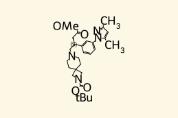 COC(=O)C[C@H](CN1CCC2(CC1)CN(C(=O)OC(C)(C)C)C2)c1cccc(-n2nc(C)cc2C)c1